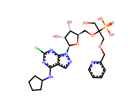 O=P(O)(O)C(CO)(COCc1ccccn1)OC[C@H]1O[C@@H](n2ncc3c(NC4CCCC4)nc(Cl)nc32)[C@H](O)[C@@H]1O